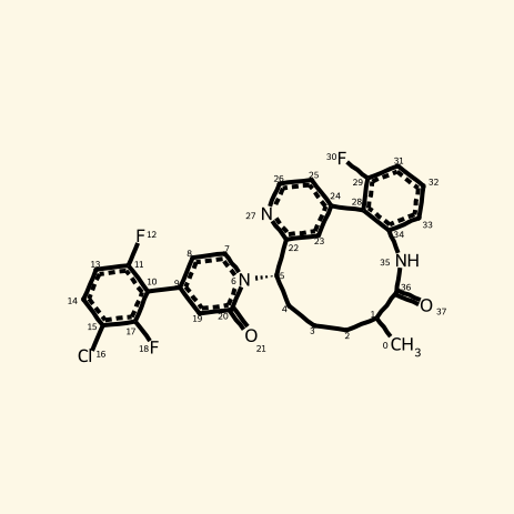 CC1CCC[C@H](n2ccc(-c3c(F)ccc(Cl)c3F)cc2=O)c2cc(ccn2)-c2c(F)cccc2NC1=O